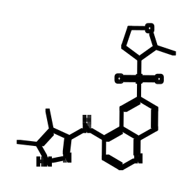 Cc1[nH]nc(Nc2ccnc3ccc(S(=O)(=O)C4CCOC4C)cc23)c1C